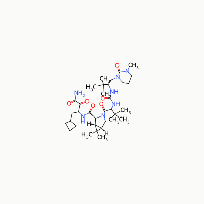 CN1CCCN(C[C@@H](NC(=O)N[C@H](C(=O)N2C[C@H]3[C@@H]([C@H]2C(=O)NC(CC2CCC2)C(=O)C(N)=O)C3(C)C)C(C)(C)C)C(C)(C)C)C1=O